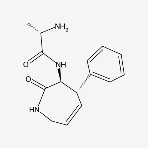 C[C@H](N)C(=O)N[C@@H]1C(=O)NCC=C[C@H]1c1ccccc1